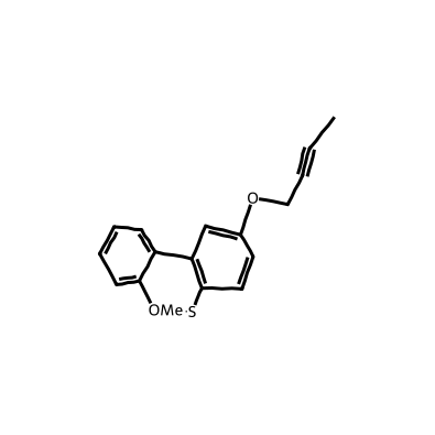 CC#CCOc1ccc([S])c(-c2ccccc2OC)c1